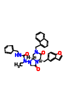 CN(C(=O)NCc1ccccc1)N1CC(=O)N2[C@@H](Cc3ccc4occc4c3)C(=O)N(Cc3cccc4ccccc34)C[C@@H]21